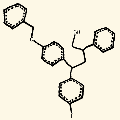 OCC(CC(c1ccc(I)cc1)c1ccc(OCc2ccccc2)cc1)c1ccccc1